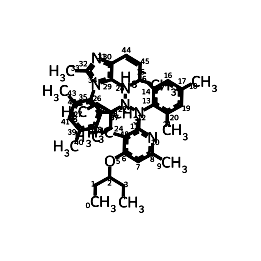 CCC(CC)Oc1cc(C)nc(N(c2c(C)cc(C)cc2C)N(C(CC)CC)N2c3c(nc(C)n3-c3c(C)cc(C)cc3C)C=CC2C)c1C